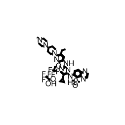 CCc1cc(Nc2ncc(C3CC3)c(Nc3ccc4nccnc4c3P(C)(C)=O)n2)c(OCC(F)(F)F)nc1N1CCC(N2CCN(C)CC2)CC1.O=C(O)C(F)(F)F